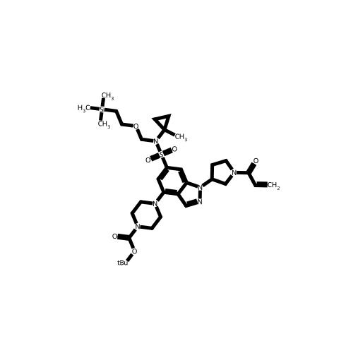 C=CC(=O)N1CCC(n2ncc3c(N4CCN(C(=O)OC(C)(C)C)CC4)cc(S(=O)(=O)N(COCC[Si](C)(C)C)C4(C)CC4)cc32)C1